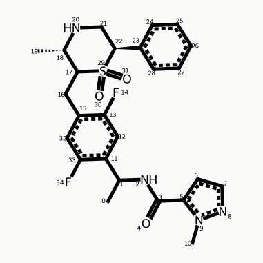 CC(NC(=O)c1ccnn1C)c1cc(F)c(CC2[C@H](C)NC[C@@H](c3ccccc3)S2(=O)=O)cc1F